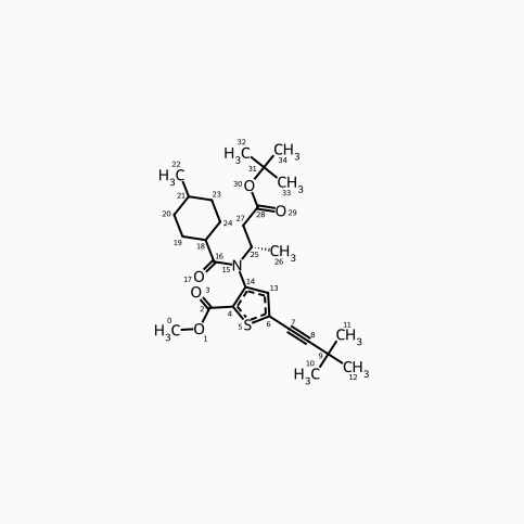 COC(=O)c1sc(C#CC(C)(C)C)cc1N(C(=O)C1CCC(C)CC1)[C@@H](C)CC(=O)OC(C)(C)C